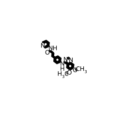 COc1cc2ncnc(Nc3ccc(C=CC(=O)Nc4cccnc4)cc3)c2cc1OC